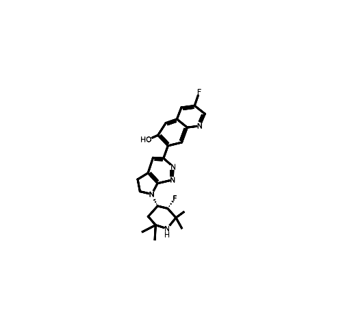 CC1(C)C[C@H](N2CCc3cc(-c4cc5ncc(F)cc5cc4O)nnc32)[C@H](F)C(C)(C)N1